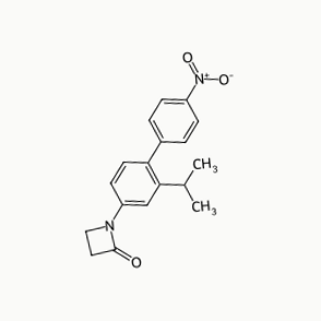 CC(C)c1cc(N2CCC2=O)ccc1-c1ccc([N+](=O)[O-])cc1